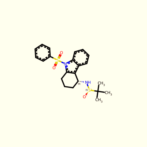 CC(C)(C)[S@@+]([O-])N[C@@H]1CCCc2c1c1ccccc1n2S(=O)(=O)c1ccccc1